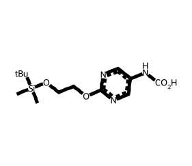 CC(C)(C)[Si](C)(C)OCCOc1ncc(NC(=O)O)cn1